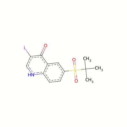 CC(C)(C)S(=O)(=O)c1ccc2[nH]cc(I)c(=O)c2c1